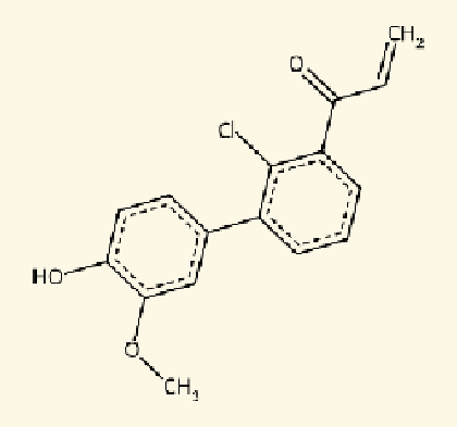 C=CC(=O)c1cccc(-c2ccc(O)c(OC)c2)c1Cl